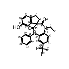 CCN1C(=O)C2(CCc3ccc(O)cc32)C(=O)N(c2ccccc2)c2cc(C(F)(F)F)ccc21